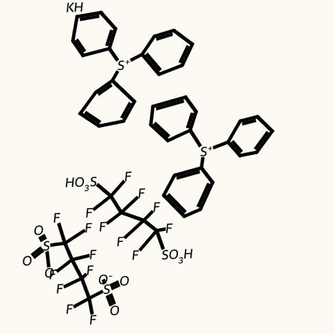 O=S(=O)(O)C(F)(F)C(F)(F)C(F)(F)C(F)(F)S(=O)(=O)O.O=S(=O)([O-])C(F)(F)C(F)(F)C(F)(F)C(F)(F)S(=O)(=O)[O-].[KH].c1ccc([S+](c2ccccc2)c2ccccc2)cc1.c1ccc([S+](c2ccccc2)c2ccccc2)cc1